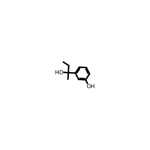 CCC(C)(O)c1cccc(O)c1